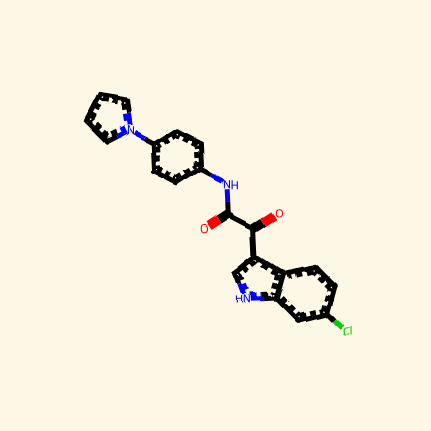 O=C(Nc1ccc(-n2cccc2)cc1)C(=O)c1c[nH]c2cc(Cl)ccc12